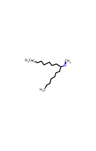 C=NC(CCCCCCC)CCCCCCCC